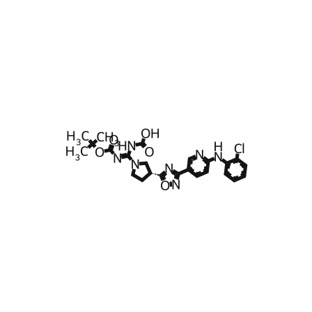 CC(C)(C)OC(=O)/N=C(\NC(=O)O)N1CC[C@@H](c2nc(-c3ccc(Nc4ccccc4Cl)nc3)no2)C1